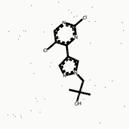 CC(C)(O)Cn1cc(-c2nc(Cl)ncc2Cl)cn1